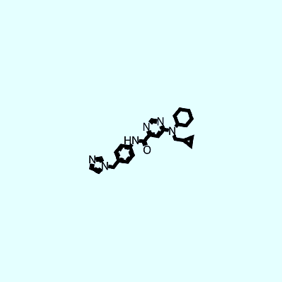 O=C(Nc1ccc(Cn2ccnc2)cc1)c1cc(N(CC2CC2)C2CCCCC2)ncn1